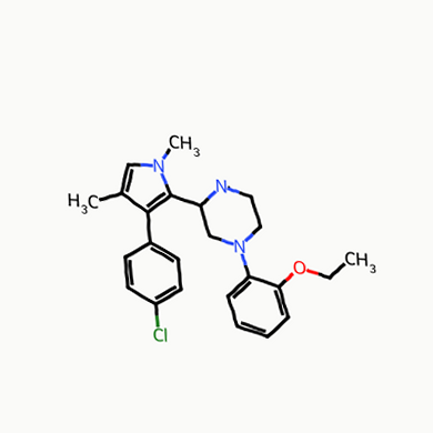 CCOc1ccccc1N1CC[N]C(c2c(-c3ccc(Cl)cc3)c(C)cn2C)C1